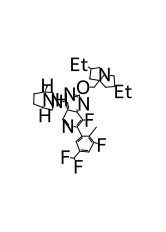 CCC1CN2CC(CC)CC2(COc2nc(N3C[C@H]4CC[C@@H](C3)N4)c3cnc(-c4cc(C(F)F)cc(F)c4C)c(F)c3n2)C1